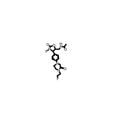 CC(=O)NCC1OC(=O)N(F)C1c1ccc(N2CCN(CCF)C(=O)C2)cc1